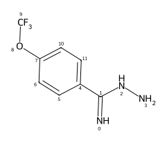 N=C(NN)c1ccc(OC(F)(F)F)cc1